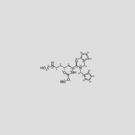 CC(C)(C)OC(=O)N[C@@H](CCCCNC(=O)O)C(=O)N(Cc1cccs1)Cc1cccs1